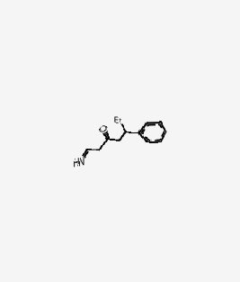 CCC(CC(=O)CC=N)c1ccccc1